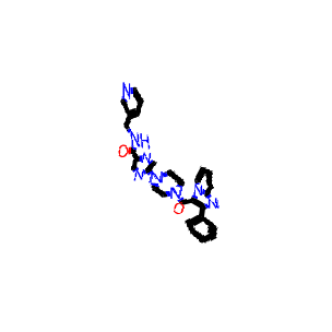 O=C(NCc1cccnc1)c1cnc(N2CCN(C(=O)c3c(-c4ccccc4)nc4ccccn34)CC2)cn1